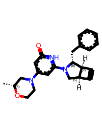 C[C@@H]1CN(c2cc(N3C[C@@H]4C#C[C@@H]4[C@H]3Cc3ccccc3)[nH]c(=O)c2)CCO1